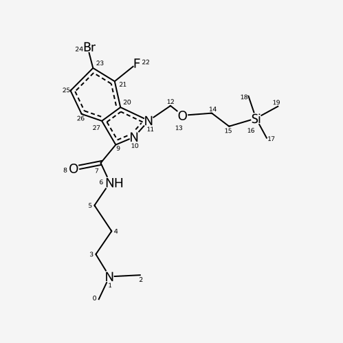 CN(C)CCCNC(=O)c1nn(COCC[Si](C)(C)C)c2c(F)c(Br)ccc12